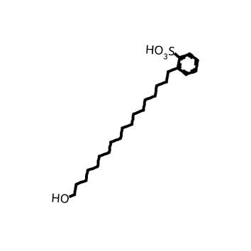 O=S(=O)(O)c1ccccc1CCCCCCCCCCCCCCCCCCO